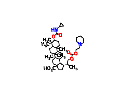 CC(COC(=O)OCCN1CCCCC1)[C@@H]1CC[C@]2(C(=O)O)CC[C@]3(C)C(CCC4[C@@]5(C)CC[C@@H](OC(=O)NC6CC6)C(C)(C)C5CC[C@]43C)C12